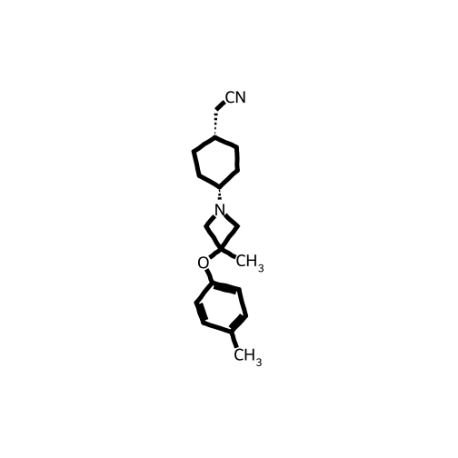 Cc1ccc(OC2(C)CN([C@H]3CC[C@@H](CC#N)CC3)C2)cc1